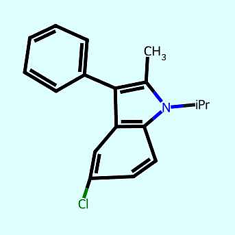 Cc1c(-c2ccccc2)c2cc(Cl)ccc2n1C(C)C